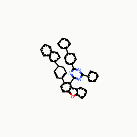 C1=CC(c2ccc3ccccc3c2)CC=C1c1ccc2oc3ccccc3c2c1-c1nc(-c2ccccc2)nc(-c2ccc(-c3ccccc3)cc2)n1